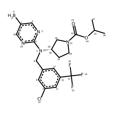 Bc1cnc(N(Cc2cc(Cl)cc(C(F)(F)F)c2)[C@H]2CCN(C(=O)OC(C)C)C2)nc1